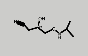 CC(C)NOC[C@H](O)CC#N